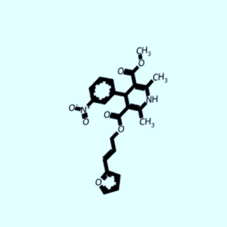 COC(=O)C1=C(C)NC(C)=C(C(=O)OCC=Cc2ccco2)C1c1cccc([N+](=O)[O-])c1